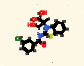 CC(CO)(C(=O)O)n1c(=NC(=O)c2cccc(Cl)c2)sc2ccccc21